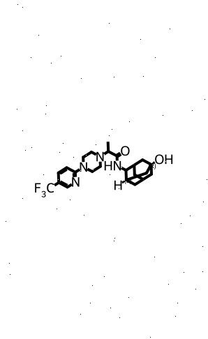 CC(C(=O)NC1C2CC3C[C@H]1C[C@@](O)(C3)C2)N1CCN(c2ccc(C(F)(F)F)cn2)CC1